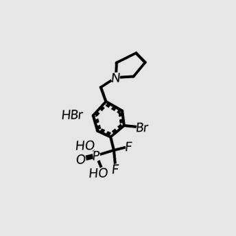 Br.O=P(O)(O)C(F)(F)c1ccc(CN2CCCC2)cc1Br